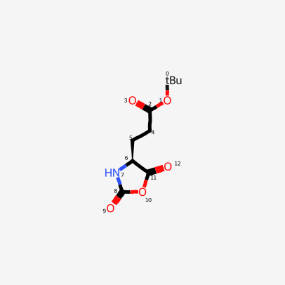 CC(C)(C)OC(=O)CC[C@@H]1NC(=O)OC1=O